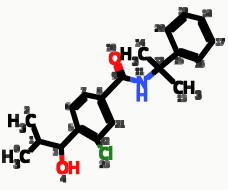 CC(C)C(O)c1ccc(C(=O)NC(C)(C)c2ccccc2)cc1Cl